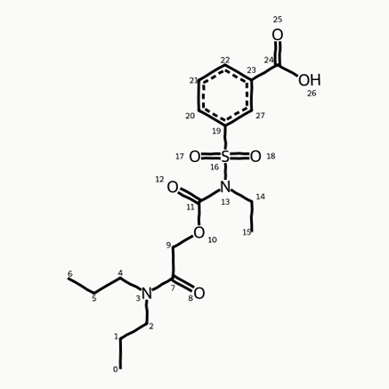 CCCN(CCC)C(=O)COC(=O)N(CC)S(=O)(=O)c1cccc(C(=O)O)c1